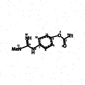 CCC(=O)Oc1ccc(NC(=N)NC)cc1